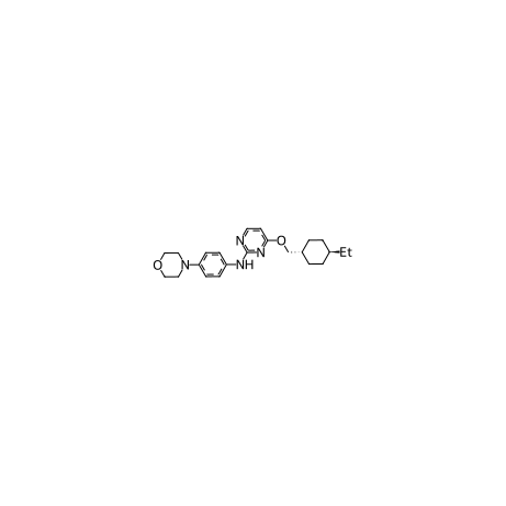 CC[C@H]1CC[C@H](COc2ccnc(Nc3ccc(N4CCOCC4)cc3)n2)CC1